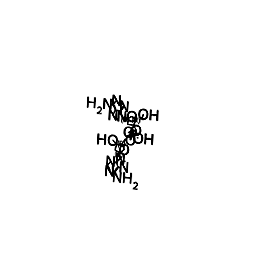 Nc1ncnc2c1ncn2[C@H]1CC(O)[C@@H](COP(=O)(O)OC2C[C@H](n3cnc4c(N)ncnc43)O[C@@H]2CO)O1